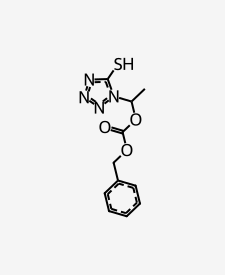 CC(OC(=O)OCc1ccccc1)n1nnnc1S